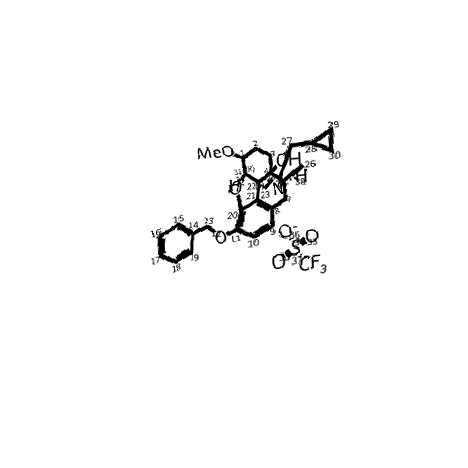 COC1CCC2(O)[C@H]3Cc4ccc(OCc5ccccc5)c5c4[C@@]2(CC[N+]3(C)CC2CC2)[C@H]1O5.O=S(=O)([O-])C(F)(F)F